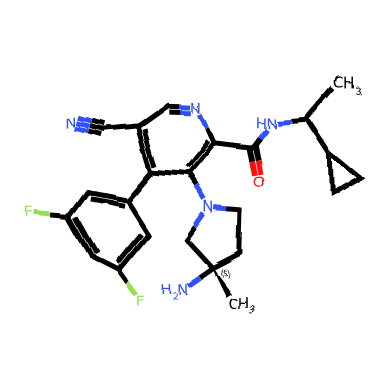 CC(NC(=O)c1ncc(C#N)c(-c2cc(F)cc(F)c2)c1N1CC[C@](C)(N)C1)C1CC1